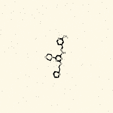 Cc1cc(C=NNc2cc(N3CCOCC3)nc(OCCc3ccccn3)n2)ccn1